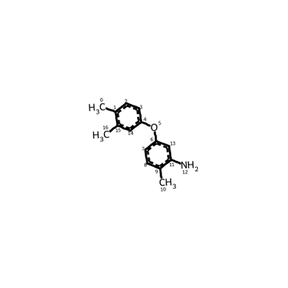 Cc1ccc(Oc2ccc(C)c(N)c2)cc1C